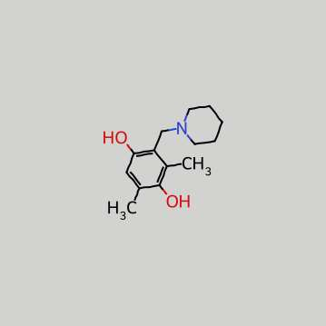 Cc1cc(O)c(CN2CCCCC2)c(C)c1O